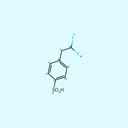 O=S(=O)(O)c1ccc(CC(F)F)cc1